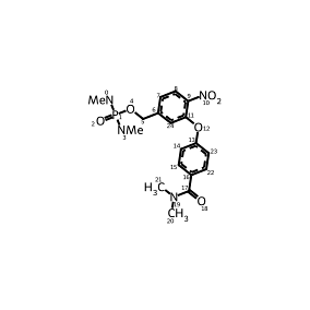 CNP(=O)(NC)OCc1ccc([N+](=O)[O-])c(Oc2ccc(C(=O)N(C)C)cc2)c1